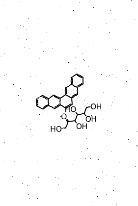 O=C(CO)C(O)C(O)C(O)CO.c1ccc2cc3c(ccc4cc5ccccc5cc43)cc2c1